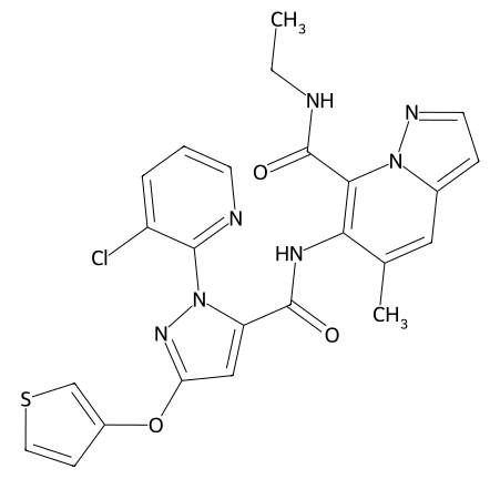 CCNC(=O)c1c(NC(=O)c2cc(Oc3ccsc3)nn2-c2ncccc2Cl)c(C)cc2ccnn12